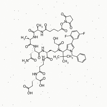 C[C@@H](NC(=O)CCCC(=O)ON1C(=O)CCC1=O)C(=O)N[C@H](C)C(=O)N[C@@H](CC(N)=O)C(=O)N[C@@H](CCN(C(=O)CO)[C@@H](c1cc(-c2cc(F)ccc2F)cn1Cc1ccccc1)C(C)(C)C)C(=O)NCCC(=O)N[C@@H](CCC(=O)O)C(=O)O